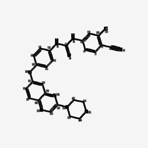 N#Cc1ccc(NC(=O)Nc2ccc(Oc3ccc4ncc(N5CCOCC5)nc4c3)cc2)cc1Cl